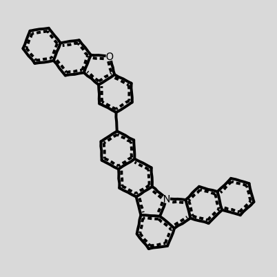 c1ccc2cc3c(cc2c1)oc1ccc(-c2ccc4cc5c6cccc7c8cc9ccccc9cc8n(c5cc4c2)c76)cc13